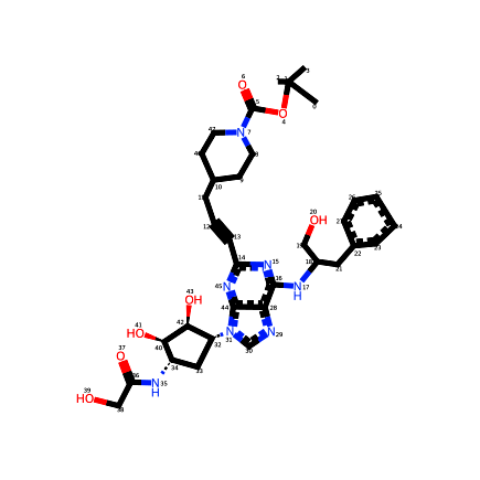 CC(C)(C)OC(=O)N1CCC(CC#Cc2nc(NC(CO)Cc3ccccc3)c3ncn([C@@H]4C[C@H](NC(=O)CO)[C@@H](O)[C@H]4O)c3n2)CC1